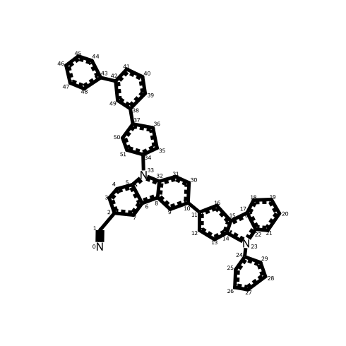 N#Cc1ccc2c(c1)c1cc(-c3ccc4c(c3)c3ccccc3n4-c3ccccc3)ccc1n2-c1ccc(-c2cccc(-c3ccccc3)c2)cc1